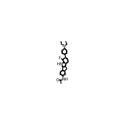 CCN(CC)c1ccc(-c2ccc3c4c([nH]c3c2F)-c2ccc(NC(C)=O)cc2C4)cc1